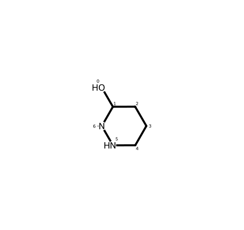 OC1CCCN[N]1